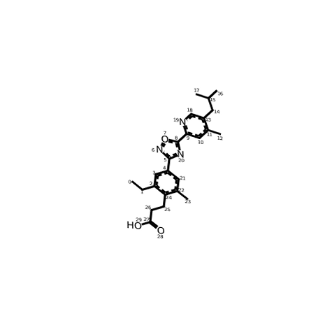 CCc1cc(-c2noc(-c3cc(C)c(CC(C)C)cn3)n2)cc(C)c1CCC(=O)O